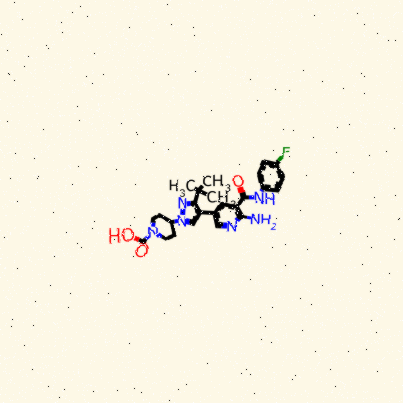 CC(C)(C)c1nn(C2CCN(C(=O)O)CC2)cc1-c1cnc(N)c(C(=O)Nc2ccc(F)cc2)c1